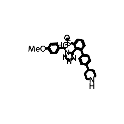 COc1ccc(Cn2nnnc2-c2c(-c3ccc(C4CCNCC4)cc3)cccc2[S@](=O)O)cc1